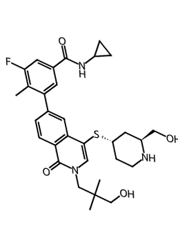 Cc1c(F)cc(C(=O)NC2CC2)cc1-c1ccc2c(=O)n(CC(C)(C)CO)cc(S[C@H]3CCN[C@H](CO)C3)c2c1